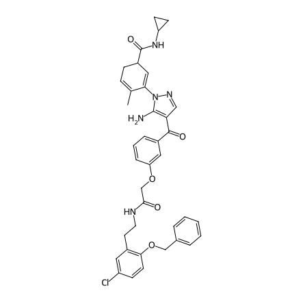 CC1=CCC(C(=O)NC2CC2)C=C1n1ncc(C(=O)c2cccc(OCC(=O)NCCc3cc(Cl)ccc3OCc3ccccc3)c2)c1N